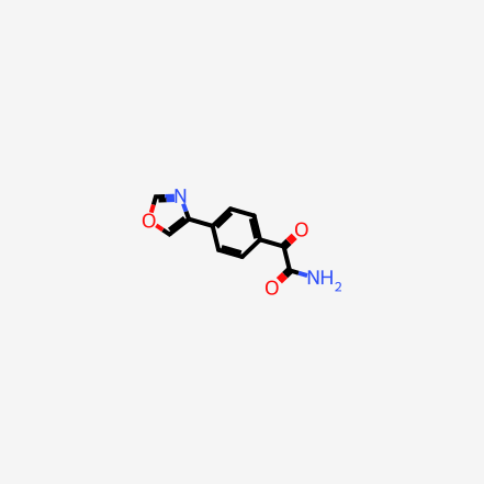 NC(=O)C(=O)c1ccc(-c2cocn2)cc1